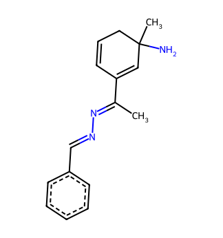 C/C(=N\N=C\c1ccccc1)C1=CC(C)(N)CC=C1